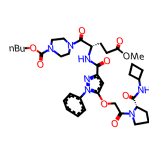 CCCCOC(=O)N1CCN(C(=O)[C@H](CCC(=O)OC)NC(=O)c2cc(OCC(=O)N3CCC[C@H]3C(=O)NC3CCC3)n(-c3ccccc3)n2)CC1